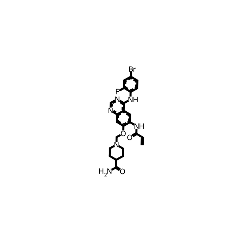 C=CC(=O)Nc1cc2c(Nc3ccc(Br)cc3F)ncnc2cc1OCN1CCC(C(N)=O)CC1